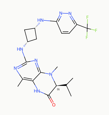 Cc1nc(N[C@H]2C[C@@H](Nc3ccc(C(F)(F)F)nn3)C2)nc2c1NC(=O)[C@H](C(C)C)N2C